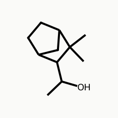 CC(O)C1C2CCC(C2)C1(C)C